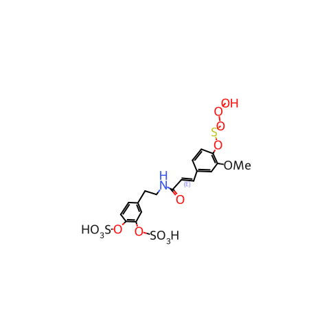 COc1cc(/C=C/C(=O)NCCc2ccc(OS(=O)(=O)O)c(OS(=O)(=O)O)c2)ccc1OSOOO